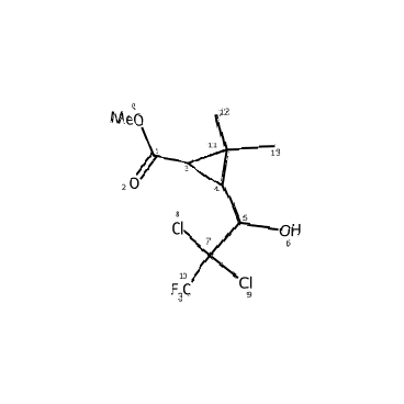 COC(=O)C1C(C(O)C(Cl)(Cl)C(F)(F)F)C1(C)C